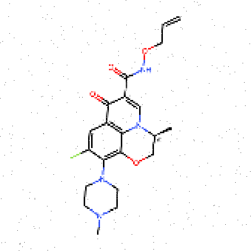 C=CCONC(=O)c1cn2c3c(c(N4CCN(C)CC4)c(F)cc3c1=O)OC[C@@H]2C